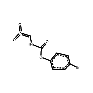 O=C(NC=S(=O)=O)Oc1ccc(Br)cc1